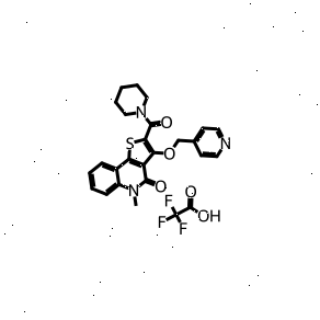 Cn1c(=O)c2c(OCc3ccncc3)c(C(=O)N3CCCCC3)sc2c2ccccc21.O=C(O)C(F)(F)F